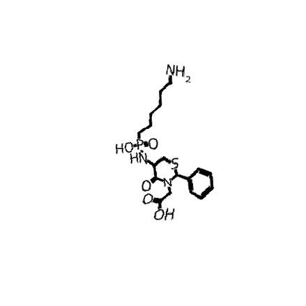 NCCCCCCP(=O)(O)NC1CSC(c2ccccc2)N(CC(=O)O)C1=O